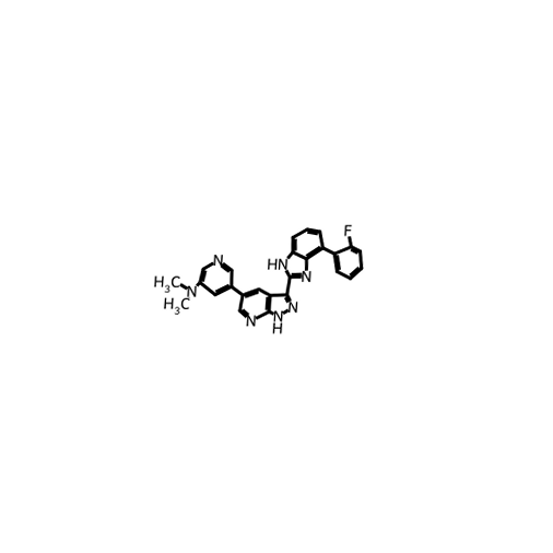 CN(C)c1cncc(-c2cnc3[nH]nc(-c4nc5c(-c6ccccc6F)cccc5[nH]4)c3c2)c1